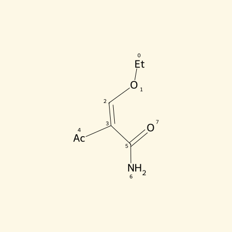 CCOC=C(C(C)=O)C(N)=O